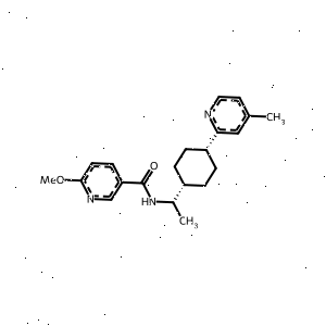 COc1ccc(C(=O)NC(C)[C@H]2CC[C@@H](c3cc(C)ccn3)CC2)cn1